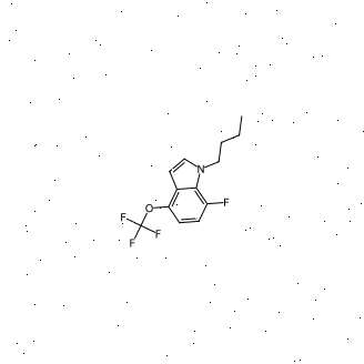 CCCCn1ccc2c(OC(F)(F)F)ccc(F)c21